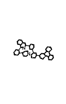 c1cc(-c2cccc(-c3cc4ccccc4c(-c4ccccc4-c4ccncc4)n3)c2)cc(-c2ccc3c4ccccc4c4ccccc4c3c2)c1